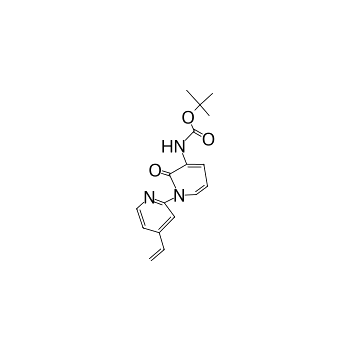 C=Cc1ccnc(-n2cccc(NC(=O)OC(C)(C)C)c2=O)c1